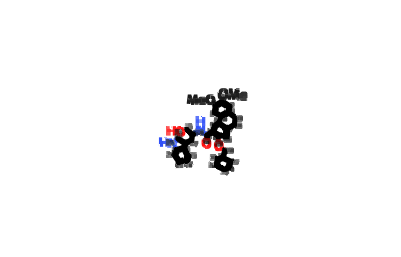 COc1cc2c(cc1OC)-c1cc(C(=O)NC(CO)Cc3c[nH]c4ccccc34)c(OCc3ccccc3)cc1CC2